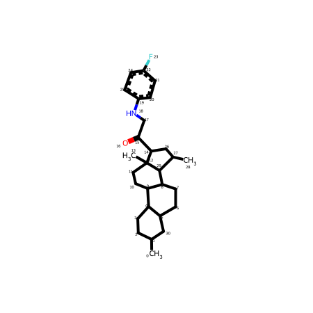 CC1CCC2C(CCC3C2CCC2(C)C(C(=O)CNc4ccc(F)cc4)CC(C)C32)C1